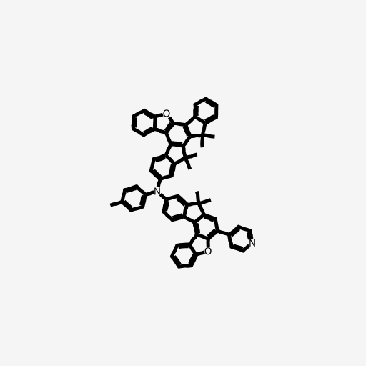 Cc1ccc(N(c2ccc3c(c2)C(C)(C)c2cc(-c4ccncc4)c4oc5ccccc5c4c2-3)c2ccc3c(c2)C(C)(C)c2c4c(c5oc6ccccc6c5c2-3)-c2ccccc2C4(C)C)cc1